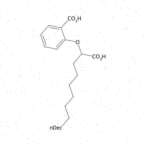 CCCCCCCCCCCCCCCCC(Oc1ccccc1C(=O)O)C(=O)O